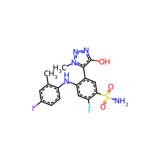 Cc1cc(I)ccc1Nc1cc(F)c(S(N)(=O)=O)cc1-c1c(O)nnn1C